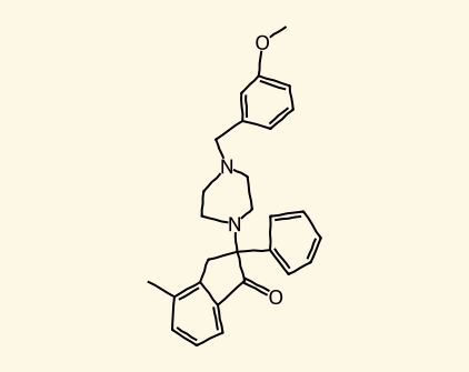 COc1cccc(CN2CCN(C3(c4ccccc4)Cc4c(C)cccc4C3=O)CC2)c1